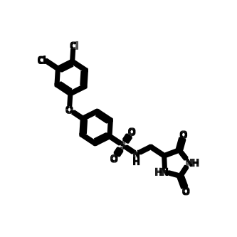 O=C1NC(=O)C(CNS(=O)(=O)c2ccc(Oc3ccc(Cl)c(Cl)c3)cc2)N1